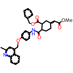 COC(=O)C=C1CCC(C(=O)Nc2ccc(OCc3cc(C)nc4ccccc34)cc2)C(C(=O)OCc2ccccc2)C1